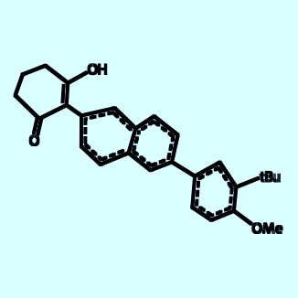 COc1ccc(-c2ccc3cc(C4=C(O)CCCC4=O)ccc3c2)cc1C(C)(C)C